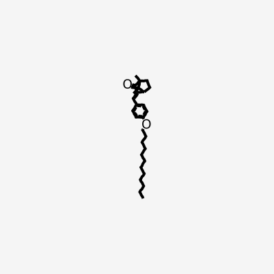 CCCCCCCCCCCCOc1ccc(C=C2C(=O)C3(C)CCC2C3(C)C)cc1